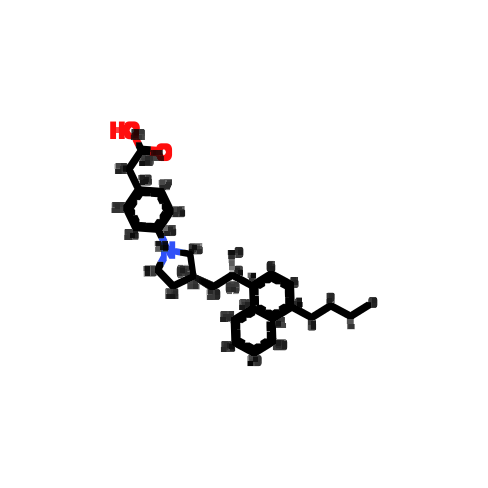 CCCCc1ccc([C@@H](C)C[C@H]2CCN(c3ccc(CC(=O)O)cc3)C2)c2ccccc12